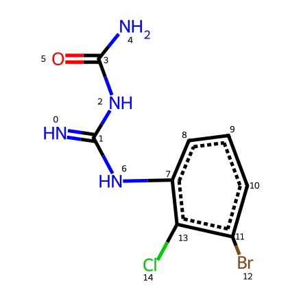 N=C(NC(N)=O)Nc1cccc(Br)c1Cl